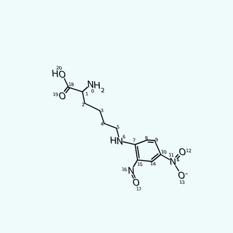 NC(CCCCNc1ccc([N+](=O)[O-])cc1N=O)C(=O)O